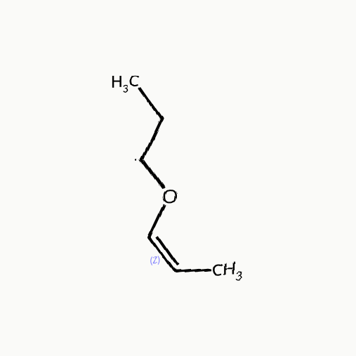 C/C=C\O[CH]CC